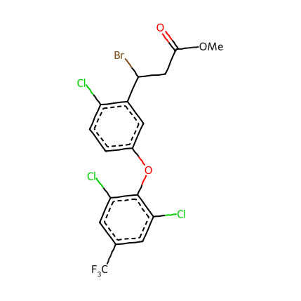 COC(=O)CC(Br)c1cc(Oc2c(Cl)cc(C(F)(F)F)cc2Cl)ccc1Cl